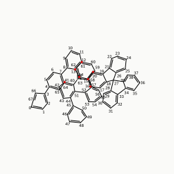 c1ccc(-c2ccc(-c3ccccc3N(c3ccc4c(c3)-c3ccccc3C43c4ccccc4-c4ccccc43)c3cccc(-c4ccccc4)c3-c3ccccc3-c3ccccc3)cc2)cc1